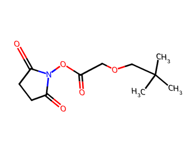 CC(C)(C)COCC(=O)ON1C(=O)CCC1=O